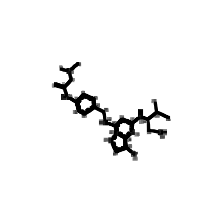 C=C(CN(C)C)Nc1ccc(CNc2cc(N[C@H](CO)C(C)C)nc3c(Br)cnn23)cc1